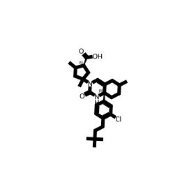 CC1CC[C@]2(c3ccc(CCC(C)(C)C)c(Cl)c3)NC(=O)N(C3(C)CC(C)[C@@H](C(=O)O)C3)C=C2C1